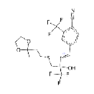 CC1(CCSCC(O)(/C=C/c2ccc(C#N)c(C(F)(F)F)c2)C(F)(F)F)OCCO1